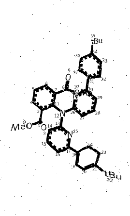 COC(=O)c1cccc(C(=O)OC)c1N(c1cccc(C2=CC=C(C(C)(C)C)CC2)n1)c1cccc(-c2ccc(C(C)(C)C)cc2)n1